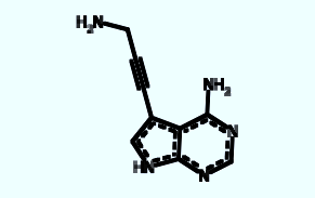 NCC#Cc1c[nH]c2ncnc(N)c12